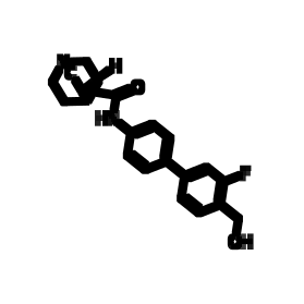 O=C(Nc1ccc(-c2ccc(CO)c(F)c2)cc1)[C@H]1CN2CCC1CC2